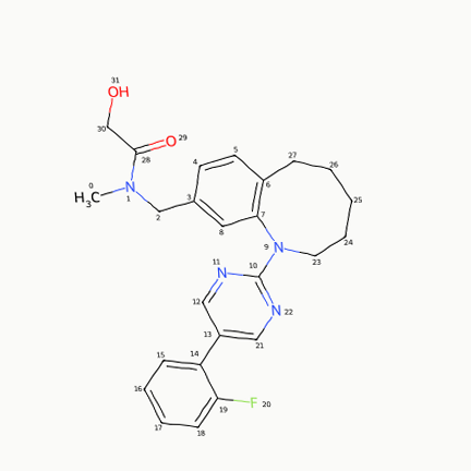 CN(Cc1ccc2c(c1)N(c1ncc(-c3ccccc3F)cn1)CCCCC2)C(=O)CO